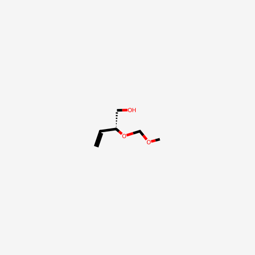 C=C[C@H](CO)OCOC